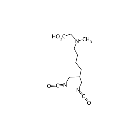 CN(CCCCC(CN=C=O)CN=C=O)CC(=O)O